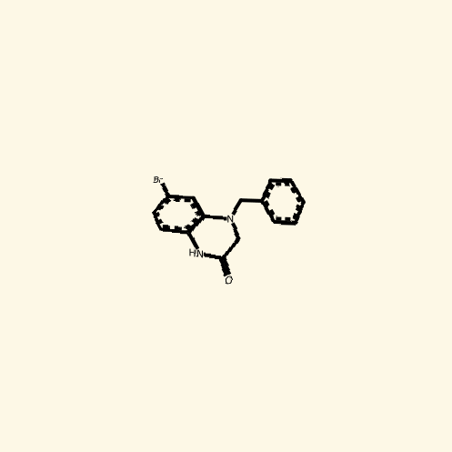 O=C1CN(Cc2ccccc2)c2cc(Br)ccc2N1